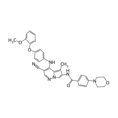 COc1ccccc1Oc1ccc(Nc2c(C#N)cnn3cc(NC(=O)c4ccc(N5CCOCC5)cc4)c(C)c23)cc1